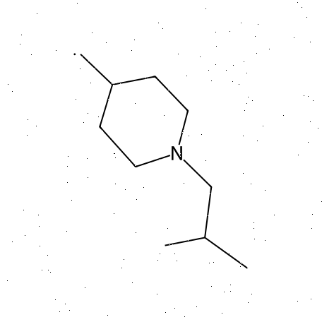 [CH2]C1CCN(CC(C)C)CC1